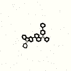 c1ccc(-c2ccc(N(c3ccccc3)c3cccc4c(-c5ccc6c(c5)c5ccccc5n6C5CCCCC5)cccc34)cc2)cc1